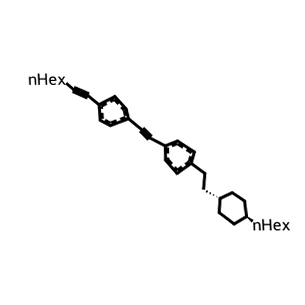 CCCCCCC#Cc1ccc(C#Cc2ccc(CC[C@H]3CC[C@H](CCCCCC)CC3)cc2)cc1